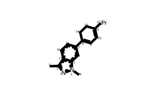 Cc1nn(C)c2cc(C3=CC=C(C(C)C)CC3)ccc12